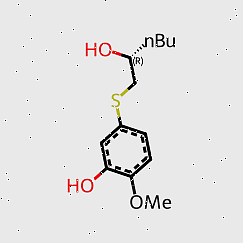 CCCC[C@@H](O)CSc1ccc(OC)c(O)c1